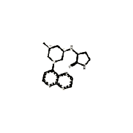 C[C@H]1C[C@@H](NC2CCNC2=O)CN(c2ccnc3nccnc23)C1